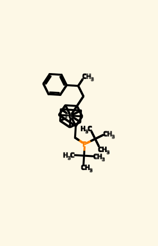 CC(C[C]12[CH]3[CH]4[C]5(CP(C(C)(C)C)C(C)(C)C)[CH]1[Fe]34251678[CH]2[CH]1[CH]6[CH]7[CH]28)c1ccccc1